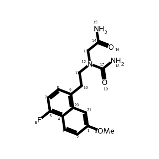 COc1ccc2c(F)ccc(CCN(CC(N)=O)C(N)=O)c2c1